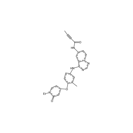 CC#CC(=O)Nc1ccc2ncnc(Nc3ccc(Oc4ccn(CC)c(=O)c4)c(C)c3)c2c1